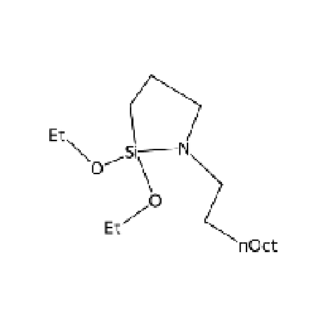 CCCCCCCCCCN1CCC[Si]1(OCC)OCC